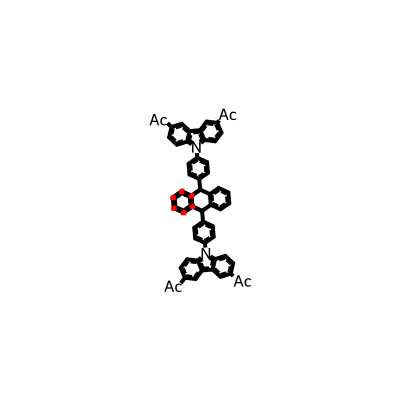 CC(=O)c1ccc2c(c1)c1cc(C(C)=O)ccc1n2-c1ccc(C23c4ccccc4C(c4ccc(-n5c6ccc(C(C)=O)cc6c6cc(C(C)=O)ccc65)cc4)(c4ccccc42)c2ccccc23)cc1